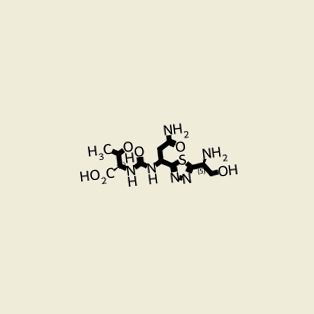 CC(O)[C@H](NC(=O)NC(CC(N)=O)c1nnc([C@@H](N)CO)s1)C(=O)O